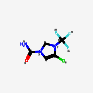 NC(=O)N1C=C(Cl)N(C(F)(F)F)C1